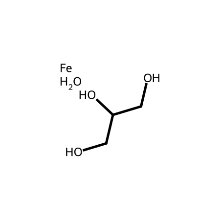 O.OCC(O)CO.[Fe]